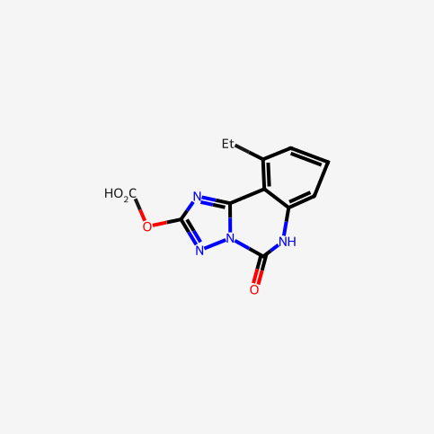 CCc1cccc2[nH]c(=O)n3nc(OC(=O)O)nc3c12